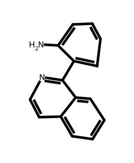 Nc1ccccc1-c1nccc2ccccc12